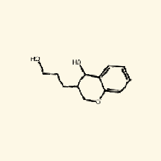 OCCCC1COc2ccccc2C1O